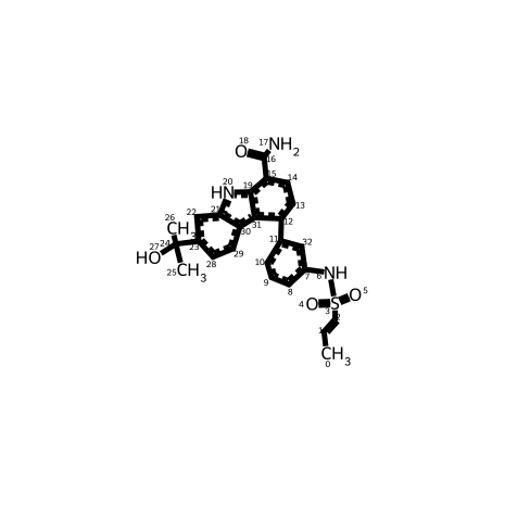 CC=CS(=O)(=O)Nc1cccc(-c2ccc(C(N)=O)c3[nH]c4cc(C(C)(C)O)ccc4c23)c1